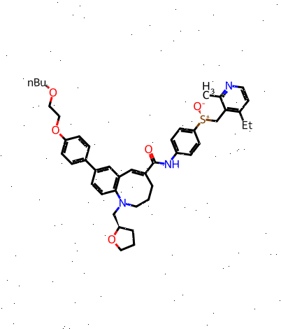 CCCCOCCOc1ccc(-c2ccc3c(c2)/C=C(/C(=O)Nc2ccc([S@+]([O-])Cc4c(CC)ccnc4C)cc2)CCCN3C[C@H]2CCCO2)cc1